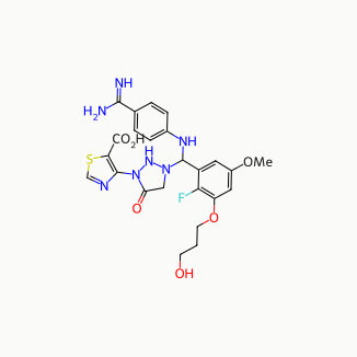 COc1cc(OCCCO)c(F)c(C(Nc2ccc(C(=N)N)cc2)N2CC(=O)N(c3ncsc3C(=O)O)N2)c1